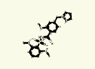 COc1cc(Cn2cccn2)ccc1C(=O)NS(=O)(=O)c1c(OC)cccc1OC